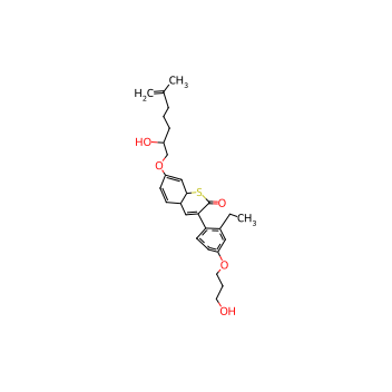 C=C(C)CCCC(O)COC1=CC2SC(=O)C(c3ccc(OCCCO)cc3CC)=CC2C=C1